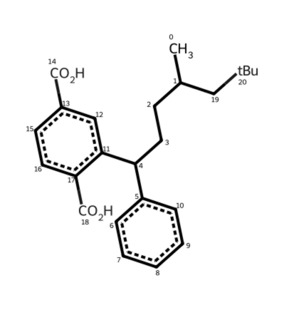 CC(CCC(c1ccccc1)c1cc(C(=O)O)ccc1C(=O)O)CC(C)(C)C